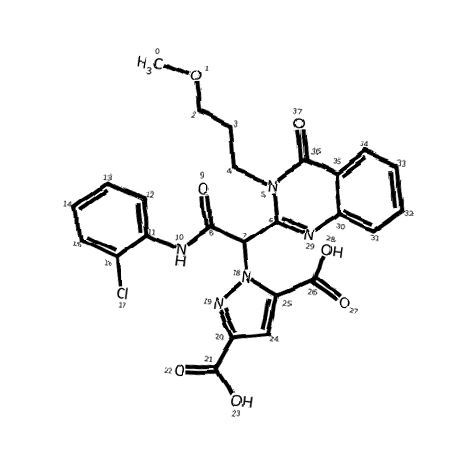 COCCCn1c(C(C(=O)Nc2ccccc2Cl)n2nc(C(=O)O)cc2C(=O)O)nc2ccccc2c1=O